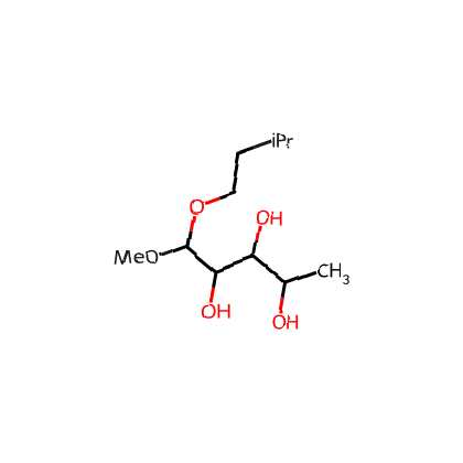 COC(OCCC(C)C)C(O)C(O)C(C)O